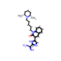 C[C@@H]1CCC[C@H](C)N1CCCCCn1c(=O)c(-c2cnc(C(=N)N)[nH]2)cc2ccccc21